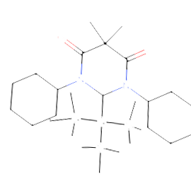 CC1(C)C(=O)N(C2CCCCC2)C([Si]([Si](C)(C)C)([Si](C)(C)C)[Si](C)(C)C)N(C2CCCCC2)C1=O